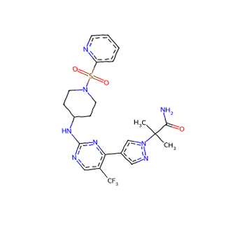 CC(C)(C(N)=O)n1cc(-c2nc(NC3CCN(S(=O)(=O)c4ccccn4)CC3)ncc2C(F)(F)F)cn1